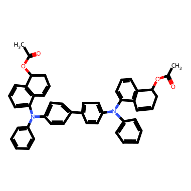 CC(=O)OC1CC=Cc2c1cccc2N(c1ccccc1)c1ccc(-c2ccc(N(c3ccccc3)c3cccc4c3C=CCC4OC(C)=O)cc2)cc1